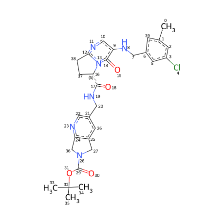 Cc1cc(Cl)cc(CNc2cnc3n(c2=O)[C@H](C(=O)NCc2cnc4c(c2)CN(C(=O)OC(C)(C)C)C4)CC3)c1